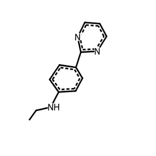 CCNc1ccc(-c2ncccn2)cc1